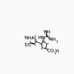 CCC=CC(NC(C)=O)C1CC(C(=O)O)CC1NC(=N)N